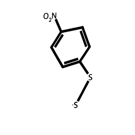 O=[N+]([O-])c1ccc(S[S])cc1